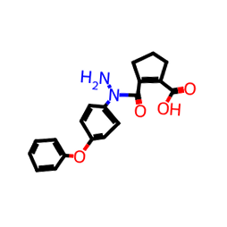 NN(C(=O)C1=C(C(=O)O)CCC1)c1ccc(Oc2ccccc2)cc1